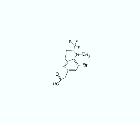 CN1c2c(Br)cc(CC(=O)O)cc2CCC1C(F)(F)F